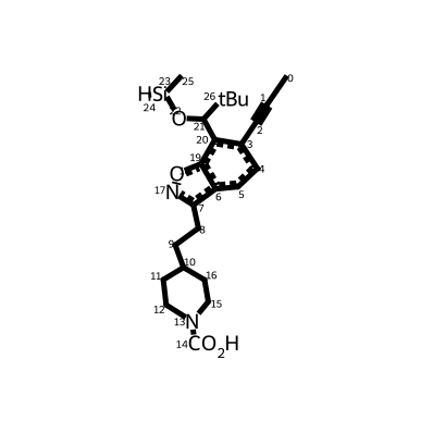 CC#Cc1ccc2c(CCC3CCN(C(=O)O)CC3)noc2c1C(O[SiH](C)C)C(C)(C)C